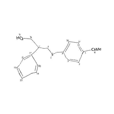 COc1ccc(SCC(CO)c2ccccc2)cc1